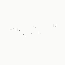 CC(C)(N)C1CCCN(c2nccc(Nc3cc(C4CC4)[nH]n3)n2)C1